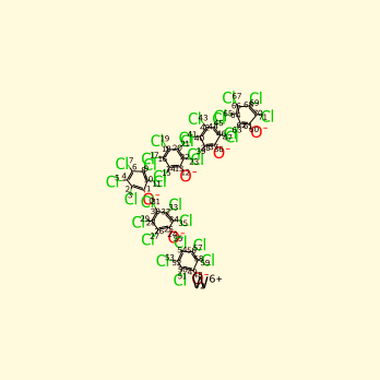 [O-]c1c(Cl)c(Cl)c(Cl)c(Cl)c1Cl.[O-]c1c(Cl)c(Cl)c(Cl)c(Cl)c1Cl.[O-]c1c(Cl)c(Cl)c(Cl)c(Cl)c1Cl.[O-]c1c(Cl)c(Cl)c(Cl)c(Cl)c1Cl.[O-]c1c(Cl)c(Cl)c(Cl)c(Cl)c1Cl.[O-]c1c(Cl)c(Cl)c(Cl)c(Cl)c1Cl.[W+6]